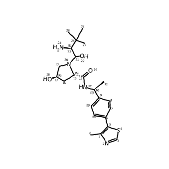 Cc1ncsc1-c1ccc([C@H](C)NC(=O)[C@@H]2C[C@@H](O)CN2C(O)[C@@H](N)C(C)(C)C)cc1